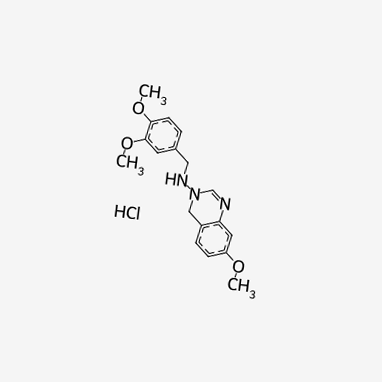 COc1ccc2c(c1)N=CN(NCc1ccc(OC)c(OC)c1)C2.Cl